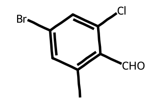 Cc1cc(Br)cc(Cl)c1C=O